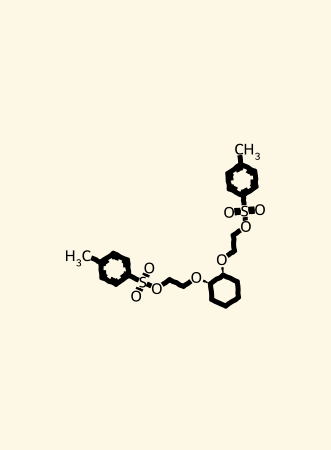 Cc1ccc(S(=O)(=O)OCCO[C@H]2CCCC[C@H]2OCCOS(=O)(=O)c2ccc(C)cc2)cc1